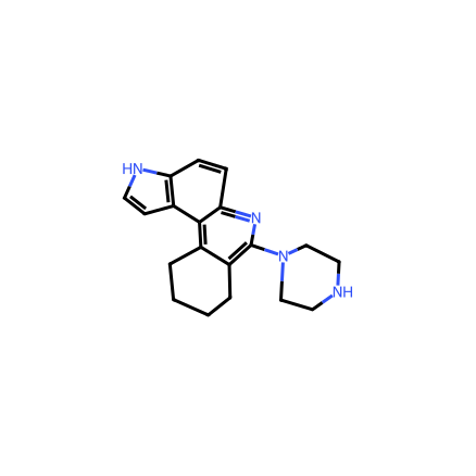 c1cc2c(ccc3nc(N4CCNCC4)c4c(c32)CCCC4)[nH]1